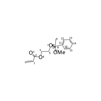 C=CC(=O)OCCO[Si](C)(OC)c1ccccc1